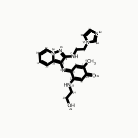 CC1=C/C(=N\c2c(NCCn3ccnc3)nn3ccccc23)C(NCCO)=CC1=O